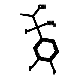 CC(O)C(N)(I)c1ccc(F)c(F)c1